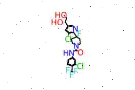 O=C(Nc1ccc(C(F)(F)F)c(Cl)c1)N1CCC(F)(c2ncc([C@H](O)CO)cc2Cl)CC1